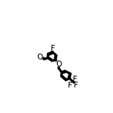 O=Cc1cc(F)cc(OCc2ccc(C(F)(F)F)cc2)c1